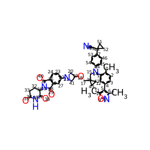 Cc1ccc(-c2c(C)noc2C)cc1N(CC1(COC2CN(c3ccc4c(c3)C(=O)N(C3CCC(=O)NC3=O)C4=O)C2)CC1)c1ccc(C2(C#N)CC2)cc1